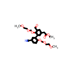 COCCOCOc1ccc(C#N)cc1-c1cc(CC(=O)OC)cc(C=O)c1OCOCCOC